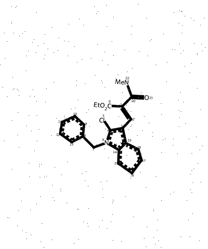 CCOC(=O)C(=Cc1c(Cl)n(Cc2ccccc2)c2ccccc12)C(=O)NC